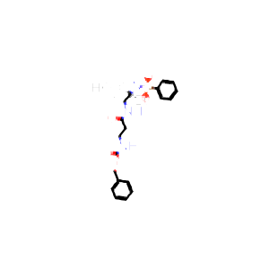 CC[C@@](CNC(=O)CCNC(=O)OCc1ccccc1)(NS(=O)(=O)c1ccccc1)C(=O)O